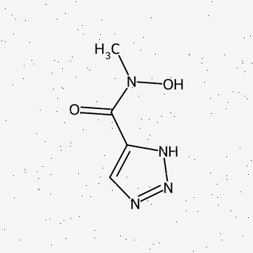 CN(O)C(=O)c1cnn[nH]1